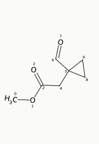 COC(=O)CC1(C=O)CC1